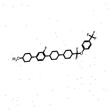 CC1CCC(c2ccc(C3CCC(C4CCC(C(F)(F)Oc5ccc(C(F)(F)F)cc5)CC4)CC3)c(F)c2)CC1